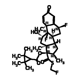 C[C@@H]1C[C@H]2[C@@H]3C[C@H](F)C4=CC(=O)C=C[C@]4(C)[C@@]3(F)[C@@H](O)C[C@]2(C)[C@@]1(OC(=O)C1C(C)(C)C1(C)C)C(=O)SCF